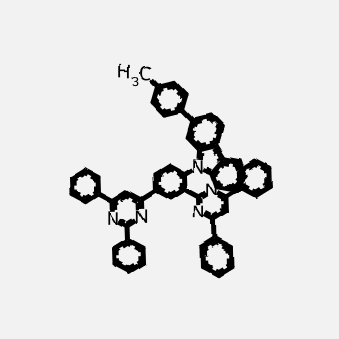 Cc1ccc(-c2ccc3c4ccccc4n(-c4ccc(-c5cc(-c6ccccc6)nc(-c6ccccc6)n5)cc4-c4nc(-c5ccccc5)cc(-c5ccccc5)n4)c3c2)cc1